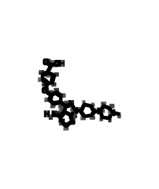 CN1CCN(C2CCC(n3nc(-c4ccc(Oc5ccc(C(=O)O)cc5)cc4)c4c(N)ncnc43)CC2)CC1